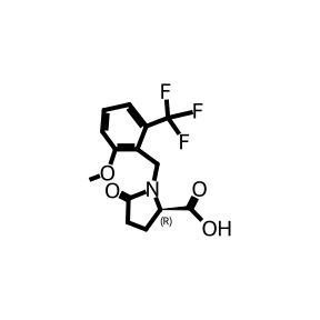 COc1cccc(C(F)(F)F)c1CN1C(=O)CC[C@@H]1C(=O)O